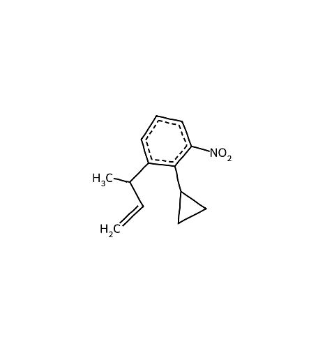 C=C[C](C)c1cccc([N+](=O)[O-])c1C1CC1